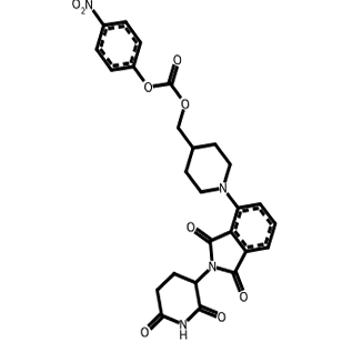 O=C1CCC(N2C(=O)c3cccc(N4CCC(COC(=O)Oc5ccc([N+](=O)[O-])cc5)CC4)c3C2=O)C(=O)N1